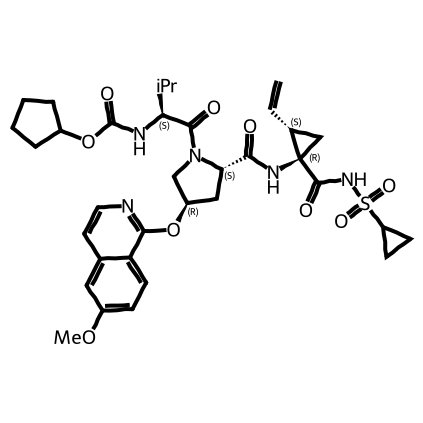 C=C[C@@H]1C[C@]1(NC(=O)[C@@H]1C[C@@H](Oc2nccc3cc(OC)ccc23)CN1C(=O)[C@@H](NC(=O)OC1CCCC1)C(C)C)C(=O)NS(=O)(=O)C1CC1